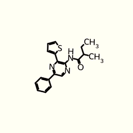 CCC(C)C(=O)Nc1ncc(-c2ccccc2)nc1-c1cccs1